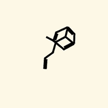 C=CCC(C)[C]1c2cccc1c2